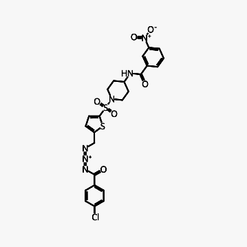 O=C(N=[N+]=NCc1ccc(S(=O)(=O)N2CCC(NC(=O)c3cccc([N+](=O)[O-])c3)CC2)s1)c1ccc(Cl)cc1